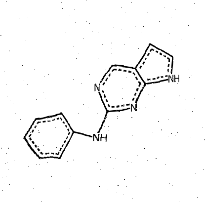 c1ccc(Nc2ncc3cc[nH]c3n2)cc1